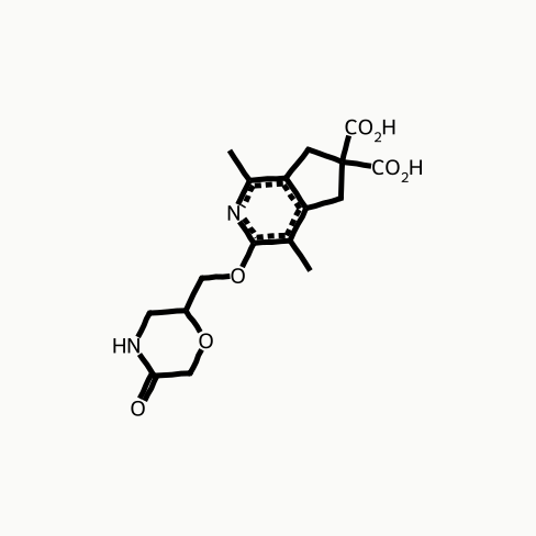 Cc1nc(OCC2CNC(=O)CO2)c(C)c2c1CC(C(=O)O)(C(=O)O)C2